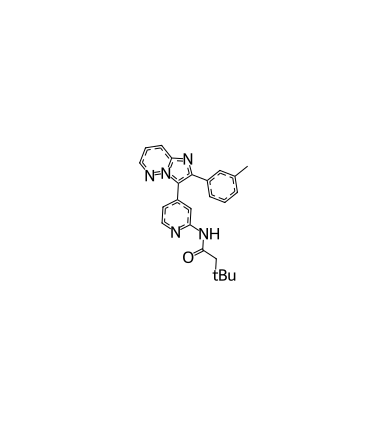 Cc1cccc(-c2nc3cccnn3c2-c2ccnc(NC(=O)CC(C)(C)C)c2)c1